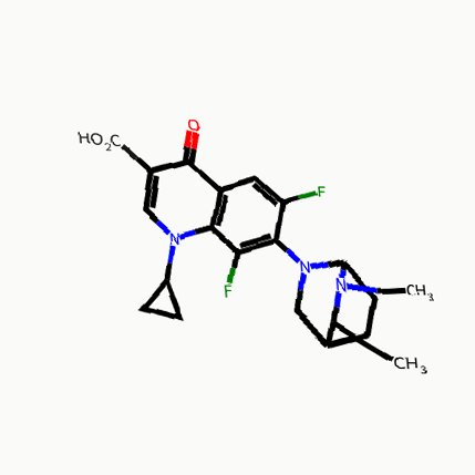 CC1C2CCC(N(c3c(F)cc4c(=O)c(C(=O)O)cn(C5CC5)c4c3F)C2)N1C